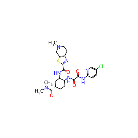 CN1CCc2nc(C(=O)NC3C[C@@H](C(=O)N(C)C)CC[C@@H]3NC(=O)C(=O)Nc3ccc(Cl)cn3)sc2C1